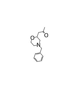 CC(=O)CC1CN(Cc2ccccc2)CCO1